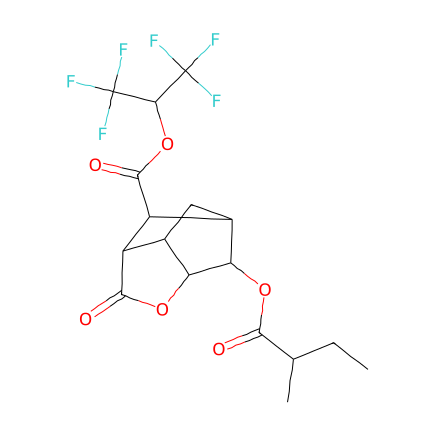 CCC(C)C(=O)OC1C2CC3C1OC(=O)C3C2C(=O)OC(C(F)(F)F)C(F)(F)F